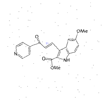 COC(=O)c1[nH]c2ccc(OC)cc2c1/C=C/C(=O)c1ccncc1